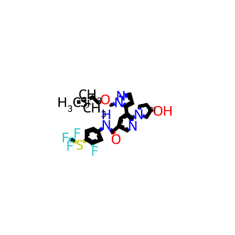 C[Si](C)(C)CCOCn1nccc1-c1cc(C(=O)Nc2ccc(SC(F)(F)F)c(F)c2)cnc1N1CC[C@@H](O)C1